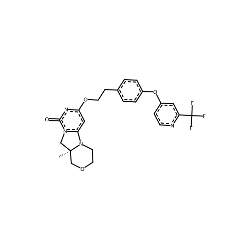 C[C@@]12COCCN1c1cc(OCCc3ccc(Oc4ccnc(C(F)(F)F)c4)cc3)nc(=O)n1C2